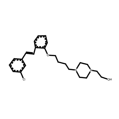 OCCN1CCN(CCCCOc2ccccc2/C=C/c2cccc(Cl)c2)CC1